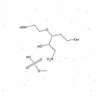 CCCCCCCCCCCCOC(CCO)C(O)CN.COS(=O)(=O)O